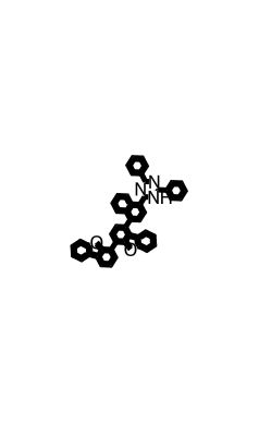 c1ccc(C2=NC(c3ccc(-c4ccc(-c5cccc6c5oc5ccccc56)c5oc6ccccc6c45)c4ccccc34)NC(c3ccccc3)=N2)cc1